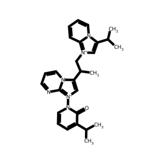 CC(C)c1cccn(-[n+]2cc(C(C)C[n+]3cc(C(C)C)n4ccccc43)n3cccnc32)c1=O